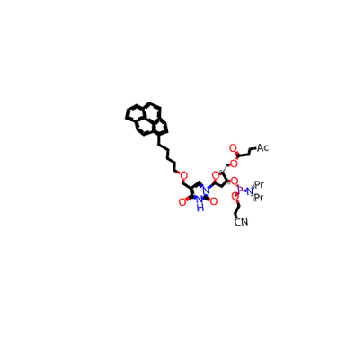 CC(=O)CCC(=O)OC[C@H]1OC(n2cc(COCCCCCc3ccc4ccc5cccc6ccc3c4c56)c(=O)[nH]c2=O)C[C@@H]1OP(OCCC#N)N(C(C)C)C(C)C